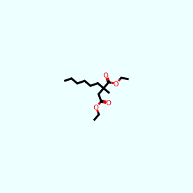 CCCCCCC(C)(CC(=O)OCC)C(=O)OCC